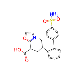 CCC(CC(C(=O)O)c1ncco1)c1ccccc1-c1ccc(S(N)(=O)=O)cc1